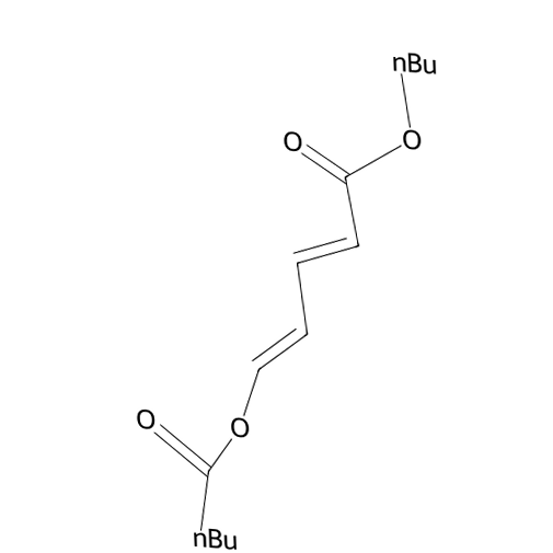 CCCCOC(=O)/C=C/C=C/OC(=O)CCCC